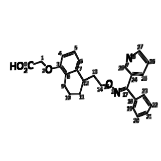 O=C(O)COc1cccc2c1CCCC2CCON=C(c1ccccc1)c1cccnc1